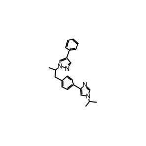 CC(C)n1cnc(-c2ccc(CC(C)n3cc(-c4ccccc4)cn3)cc2)c1